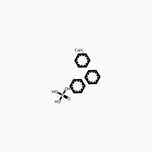 O=P(O)(O)O.[CaH2].c1ccccc1.c1ccccc1.c1ccccc1